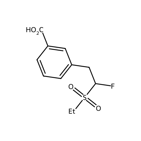 CCS(=O)(=O)C(F)Cc1cccc(C(=O)O)c1